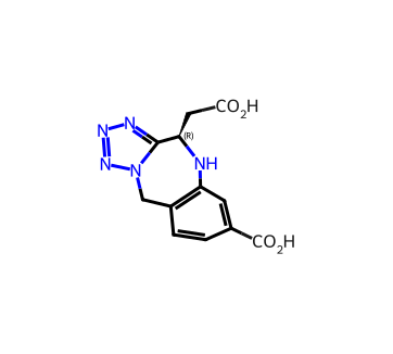 O=C(O)C[C@H]1Nc2cc(C(=O)O)ccc2Cn2nnnc21